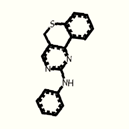 c1ccc(Nc2ncc3c(n2)-c2ccccc2SC3)cc1